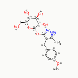 Cc1[nH]nc(O[C@@H]2O[C@@H](CO)[C@H](O)[C@@H](O)[C@@H]2O)c1Cc1ccc(OC(C)C)cc1